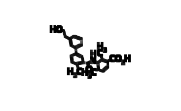 Cc1ccc(-c2cccc(CCO)c2)cc1C(=O)Nc1c(C)ccc(C(=O)O)c1C